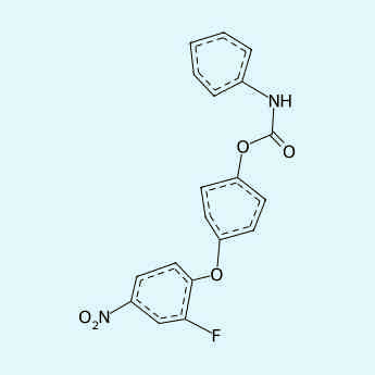 O=C(Nc1ccccc1)Oc1ccc(Oc2ccc([N+](=O)[O-])cc2F)cc1